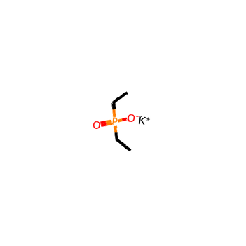 CCP(=O)([O-])CC.[K+]